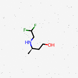 C[C@H](CCO)NCC(F)F